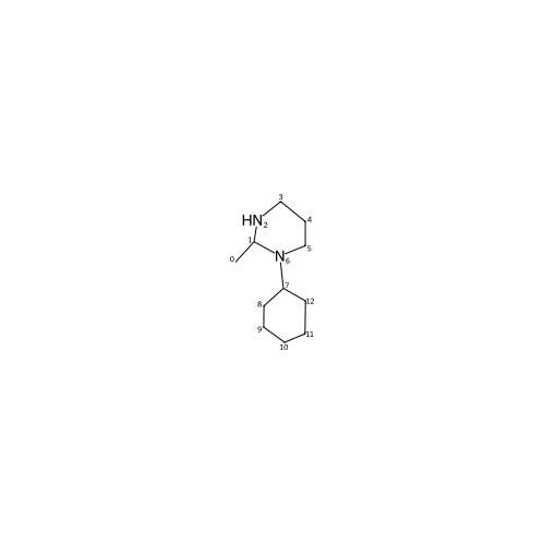 CC1NCCCN1C1CCCCC1